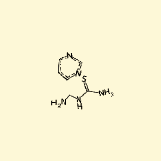 NCNC(N)=S.c1cncnc1